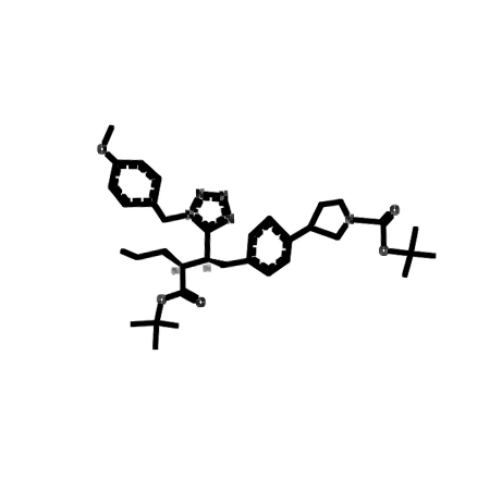 CCC[C@H](C(=O)OC(C)(C)C)[C@H](Cc1ccc(C2CCN(C(=O)OC(C)(C)C)C2)cc1)c1nnnn1Cc1ccc(OC)cc1